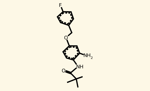 CC(C)(C)C(=O)Nc1ccc(OCc2ccc(F)cc2)cc1N